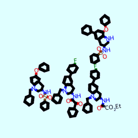 CCOC(=O)C(=O)NC1Cc2cc(-c3ccc(F)cc3)ccc2N(Cc2ccccc2)C1.O=C(NC1Cc2cc(-c3ccc(F)cc3)ccc2N(Cc2ccccc2)C1)C(=O)c1ccccc1.O=S(=O)(NC1CNc2c(cc(-c3ccccc3)cc2Oc2ccccc2)C1)c1ccccc1.O=S(=O)(NC1Cc2cc(Oc3ccccc3)ccc2N(Cc2ccccc2)C1)c1ccccc1